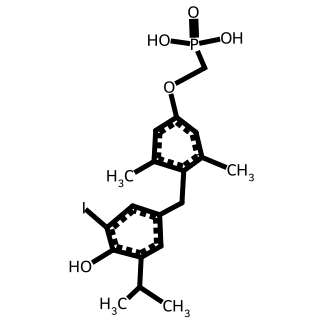 Cc1cc(OCP(=O)(O)O)cc(C)c1Cc1cc(I)c(O)c(C(C)C)c1